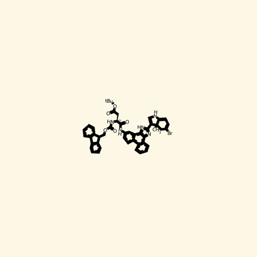 CC(C)(C)OC(=O)C[C@H](NC(=O)OCC1c2ccccc2-c2ccccc21)C(=O)Nc1ccc2c3ccccc3c3nc(C4=CNC5=CC=C(Br)CC54C)[nH]c3c2c1